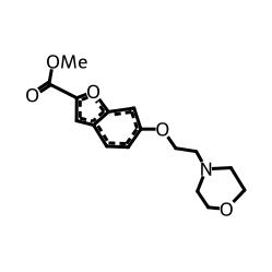 COC(=O)c1cc2ccc(OCCN3CCOCC3)cc2o1